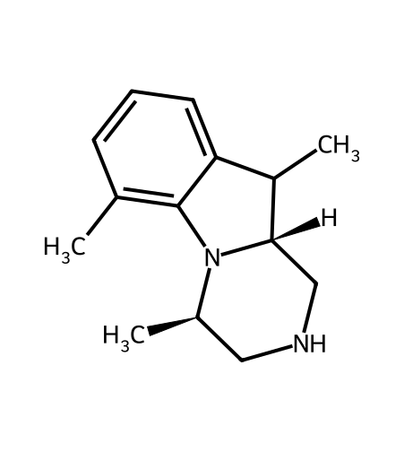 Cc1cccc2c1N1[C@H](C)CNC[C@H]1C2C